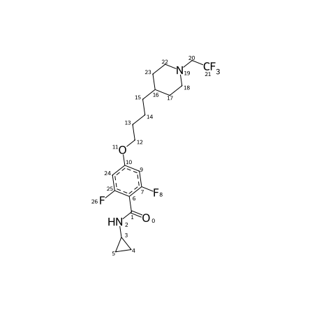 O=C(NC1CC1)c1c(F)cc(OCCCCC2CCN(CC(F)(F)F)CC2)cc1F